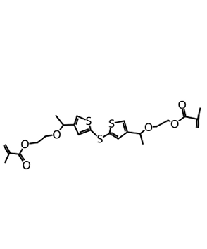 C=C(C)C(=O)OCCOC(C)c1csc(Sc2cc(C(C)OCCOC(=O)C(=C)C)cs2)c1